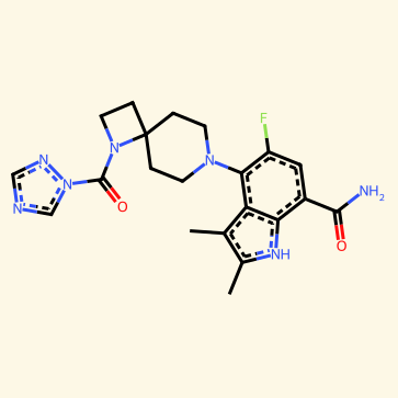 Cc1[nH]c2c(C(N)=O)cc(F)c(N3CCC4(CC3)CCN4C(=O)n3cncn3)c2c1C